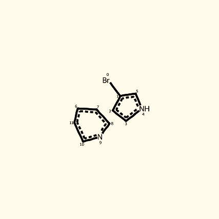 Brc1cc[nH]c1.c1ccncc1